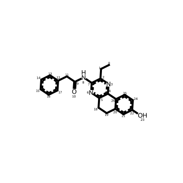 CCc1nc2c(nc1NC(=O)Cc1ccccc1)CCc1cc(O)ccc1-2